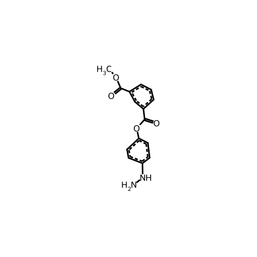 COC(=O)c1cccc(C(=O)Oc2ccc(NN)cc2)c1